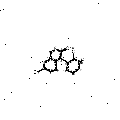 O=c1ncn2nc(Cl)ccc2c1-c1cccc(Cl)c1Cl